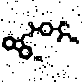 Cl.NCC(=O)C(N)C1CCN(C(=O)OCC2c3ccccc3-c3ccccc32)CC1